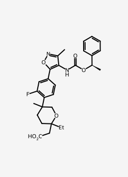 CCC1(CC(=O)O)CCC(C)(c2ccc(-c3onc(C)c3NC(=O)O[C@H](C)c3ccccc3)cc2F)CO1